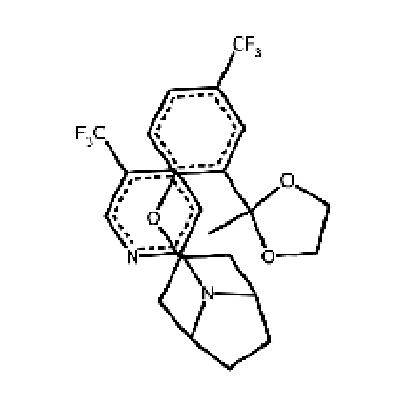 CC1(c2cc(C(F)(F)F)ccc2OC2CC3CCC(C2)N3c2ccc(C(F)(F)F)cn2)OCCO1